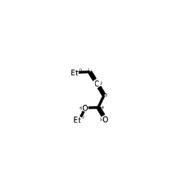 CCC=C=CC(=O)OCC